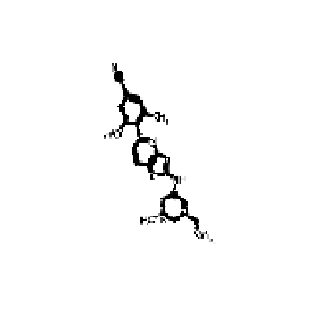 CCN1C[C@H](O)C[C@@H](Nc2nc3nc(-c4c(C)cc(C#N)cc4O)ccc3o2)C1